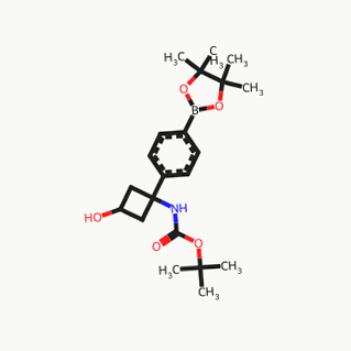 CC(C)(C)OC(=O)NC1(c2ccc(B3OC(C)(C)C(C)(C)O3)cc2)CC(O)C1